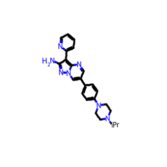 CC(C)N1CCN(c2ccc(-c3cnc4c(-c5ccccn5)c(N)nn4c3)cc2)CC1